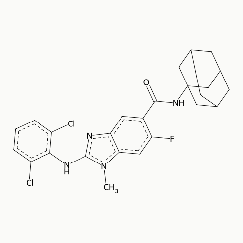 Cn1c(Nc2c(Cl)cccc2Cl)nc2cc(C(=O)NC34CC5CC(CC(C5)C3)C4)c(F)cc21